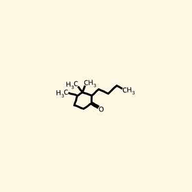 CCCCC1C(=O)CCC(C)C1(C)C